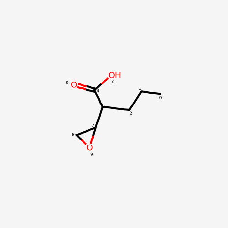 CCCC(C(=O)O)C1CO1